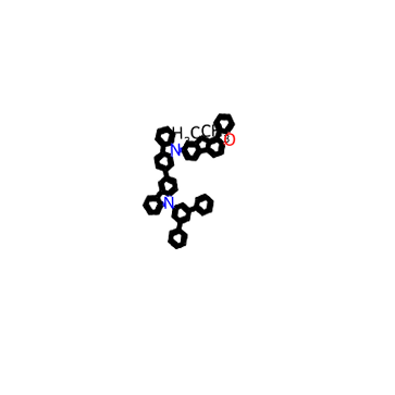 CC1(C)c2cc(-n3c4ccccc4c4ccc(-c5ccc6c(c5)c5ccccc5n6-c5cc(-c6ccccc6)cc(-c6ccccc6)c5)cc43)ccc2-c2ccc3oc4ccccc4c3c21